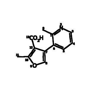 Cc1ncccc1-c1coc(C)c1C(=O)O